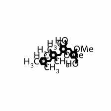 COc1cc(CO)ccc1Cc1c(CO)c(C)cc(Cc2cc(C)c(C)c(Cc3ccc(C)cc3C)c2C)c1OC